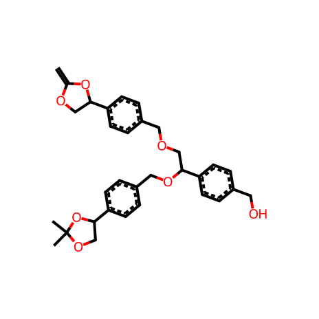 C=C1OCC(c2ccc(COCC(OCc3ccc(C4COC(C)(C)O4)cc3)c3ccc(CO)cc3)cc2)O1